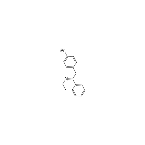 CC(C)c1ccc(CC2=NCCc3ccccc32)cc1